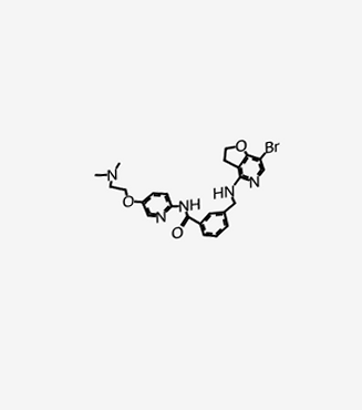 CN(C)CCOc1ccc(NC(=O)c2cccc(CNc3ncc(Br)c4c3CCO4)c2)nc1